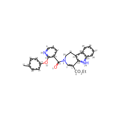 CCOC(=O)C1=CN(C(=O)c2cccnc2Oc2ccc(C)cc2)CCc2c1[nH]c1ccccc21